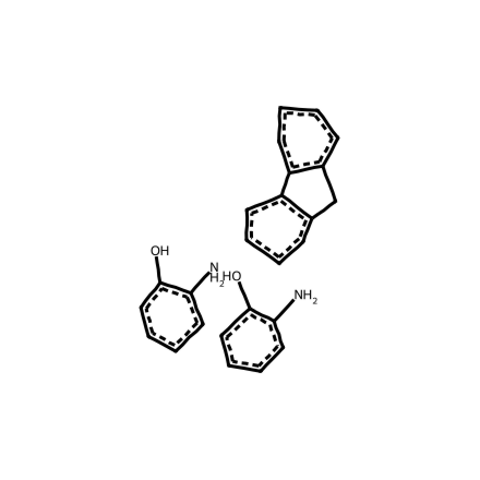 Nc1ccccc1O.Nc1ccccc1O.c1ccc2c(c1)Cc1ccccc1-2